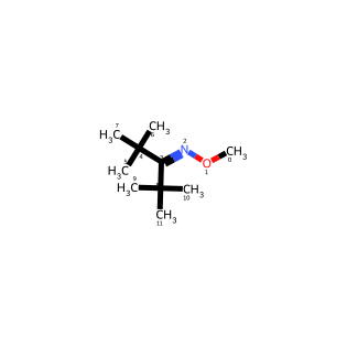 CON=C(C(C)(C)C)C(C)(C)C